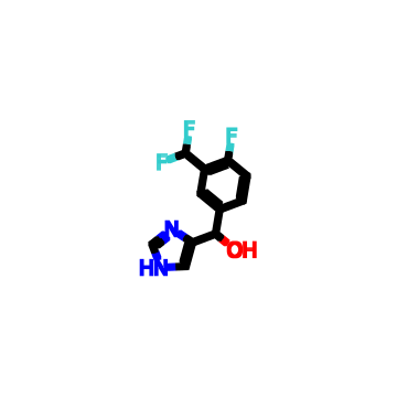 OC(c1ccc(F)c(C(F)F)c1)c1c[nH]cn1